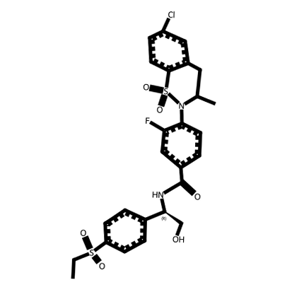 CCS(=O)(=O)c1ccc([C@H](CO)NC(=O)c2ccc(N3C(C)Cc4cc(Cl)ccc4S3(=O)=O)c(F)c2)cc1